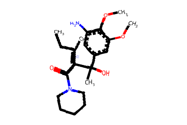 CC/C(C)=C(\C(=O)N1CCCCC1)C(C)(O)c1cc(N)c(OC)c(OC)c1